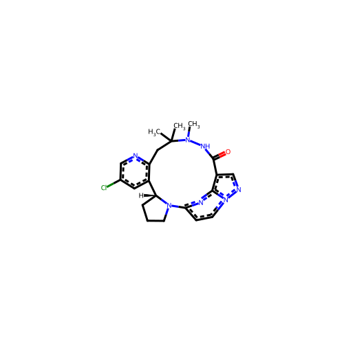 CN1NC(=O)c2cnn3ccc(nc23)N2CCC[C@@H]2c2cc(Cl)cnc2CC1(C)C